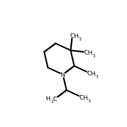 CC(C)N1CCCC(C)(C)C1C